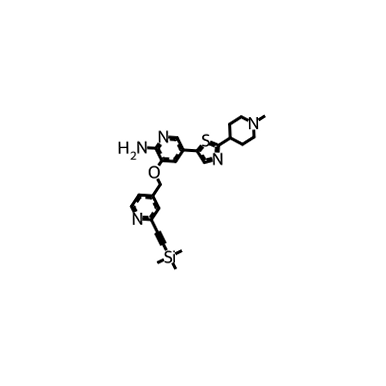 CN1CCC(c2ncc(-c3cnc(N)c(OCc4ccnc(C#C[Si](C)(C)C)c4)c3)s2)CC1